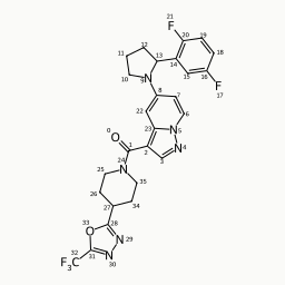 O=C(c1cnn2ccc(N3CCCC3c3cc(F)ccc3F)cc12)N1CCC(c2nnc(C(F)(F)F)o2)CC1